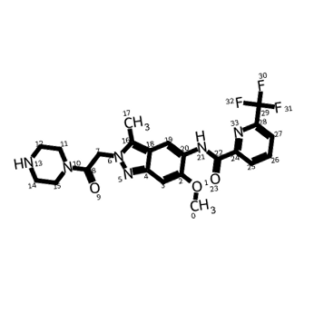 COc1cc2nn(CC(=O)N3CCNCC3)c(C)c2cc1NC(=O)c1cccc(C(F)(F)F)n1